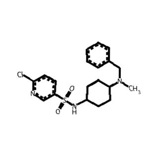 CN(Cc1ccccc1)C1CCC(NS(=O)(=O)c2ccc(Cl)nc2)CC1